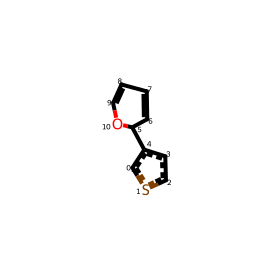 [c]1sccc1C1C=CC=CO1